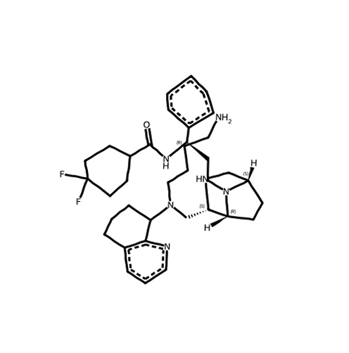 NCCCCN(C[C@@H]1NC[C@@H]2CC[C@H]1N2CC[C@@H](NC(=O)C1CCC(F)(F)CC1)c1ccccc1)C1CCCc2cccnc21